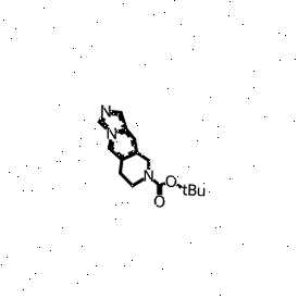 CC(C)(C)OC(=O)N1CCc2cn3cncc3cc2C1